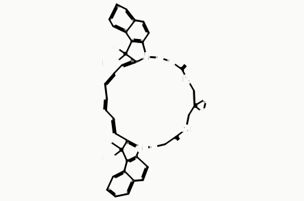 CC1(C)C2=[N+](CCC(=O)NCC3(CNC(=O)CCN4/C(=C/C=C/C=C/C=C/2)C(C)(C)c2c4ccc4ccccc24)SS3)c2ccc3ccccc3c21